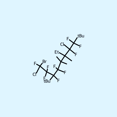 CCC(C)(C(C)(C)C(F)(F)C(F)(C(C)(C)C)C(F)(F)C(F)(Cl)Br)C(F)(Cl)C(F)(F)C(C)(C)C